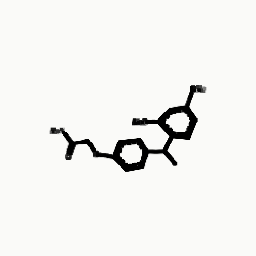 CNC(=O)COc1ccc(C(C)c2ccc(OC)cc2OC)cc1